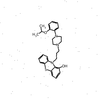 CC(C)Oc1ccccc1N1CCN(CCCN2c3ccccc3Sc3cccc(O)c32)CC1